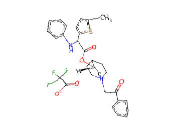 Cc1ccc(C(Nc2ccccc2)C(=O)O[C@H]2C[N+]3(CC(=O)c4ccccc4)CCC2CC3)s1.O=C([O-])C(F)(F)F